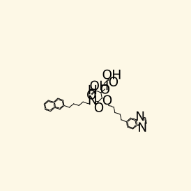 O=C(O)COC(C(=O)O)C(OCCCCCc1ccc2nccnc2c1)C(=O)NCCCCCc1ccc2ccccc2c1